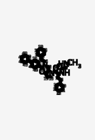 CNCC(=O)NC(CCc1ccccc1)C(=O)N1CCCC1CN(CCc1ccccc1)C(=O)c1ccc(-c2ccccc2)cc1